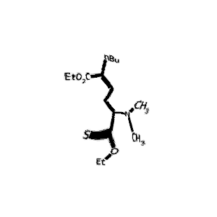 CCCCC(=CC=C(C(=S)OCC)N(C)C)C(=O)OCC